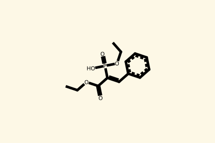 CCOC(=O)C(=Cc1ccccc1)P(=O)(O)OCC